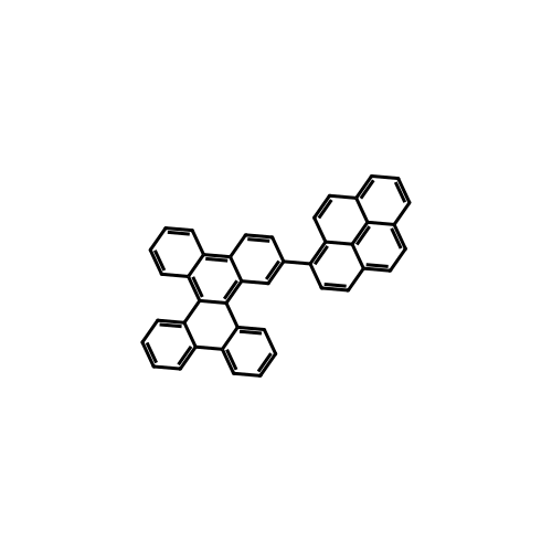 c1cc2ccc3ccc(-c4ccc5c6ccccc6c6c7ccccc7c7ccccc7c6c5c4)c4ccc(c1)c2c34